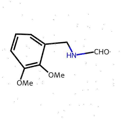 COc1cccc(CN[C]=O)c1OC